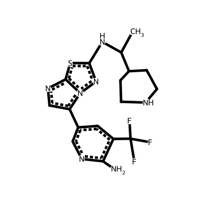 CC(Nc1nn2c(-c3cnc(N)c(C(F)(F)F)c3)cnc2s1)C1CCNCC1